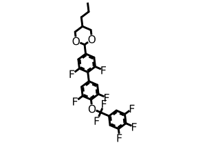 CCCC1COC(c2cc(F)c(-c3cc(F)c(OC(F)(F)c4cc(F)c(F)c(F)c4)c(F)c3)c(F)c2)OC1